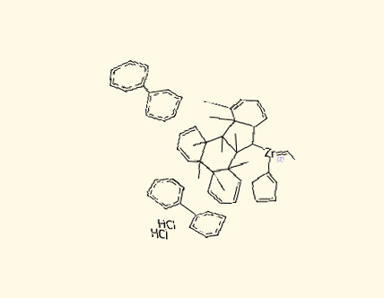 C/[CH]=[Zr](\[C]1=CC=CC1)[CH]1C2C=CC=C(C)C2(C)C2(C)C3(C)C=CC=CC3(C)C3(C)C=CC=CC3(C)C12C.Cl.Cl.c1ccc(-c2ccccc2)cc1.c1ccc(-c2ccccc2)cc1